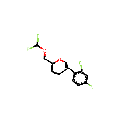 Fc1ccc(C2=COC(COC(F)F)CC2)c(F)c1